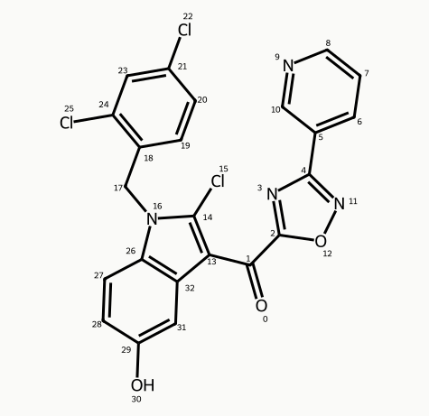 O=C(c1nc(-c2cccnc2)no1)c1c(Cl)n(Cc2ccc(Cl)cc2Cl)c2ccc(O)cc12